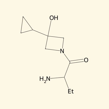 CCC(N)C(=O)N1CC(O)(C2CC2)C1